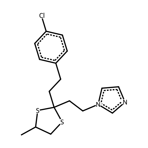 CC1CSC(CCc2ccc(Cl)cc2)(CCn2ccnc2)S1